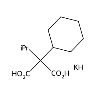 CC(C)C(C(=O)O)(C(=O)O)C1CCCCC1.[KH]